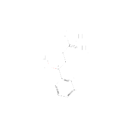 C=C(CCC(OCC)c1ccccc1)C(=O)O